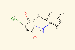 O=c1c(Br)cc(O)c2[nH]c3ccccc3cc1-2